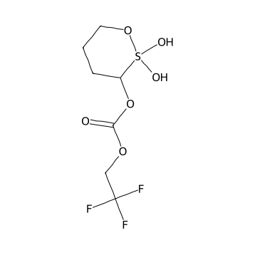 O=C(OCC(F)(F)F)OC1CCCOS1(O)O